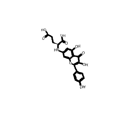 O=C(O)CC[C@H](Nc1cc(O)c2c(=O)c(O)c(-c3ccc(O)cc3)oc2c1)C(=O)O